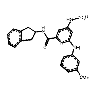 COc1cccc(Nc2cc(NC(=O)O)cc(C(=O)NC3Cc4ccccc4C3)n2)c1